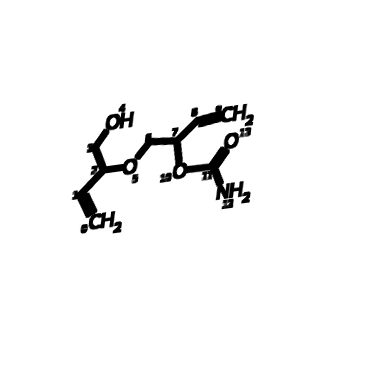 C=CC(CO)OCC(C=C)OC(N)=O